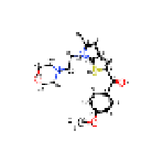 Cc1cc2cc(C(=O)c3ccc(OC(F)(F)F)cc3)sc2n1CCN1CCOCC1